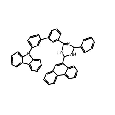 c1ccc(C2N=C(c3cccc(-c4cccc(-n5c6ccccc6c6ccccc65)c4)c3)NC(c3cc4ccccc4c4ccccc34)N2)cc1